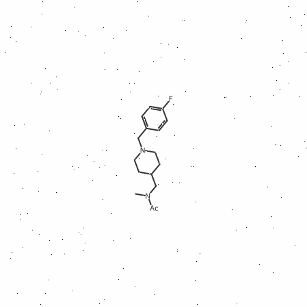 CC(=O)N(C)CC1CCN(Cc2ccc(F)cc2)CC1